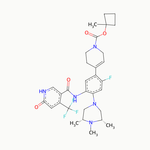 C[C@@H]1CN(c2cc(F)c(C3=CCN(C(=O)OC4(C)CCC4)CC3)cc2NC(=O)c2c[nH]c(=O)cc2C(F)(F)F)C[C@H](C)N1C